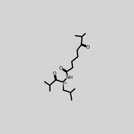 CC(C)C[C@H](NC(=O)CCCCC(=O)C(C)C)C(=O)C(C)C